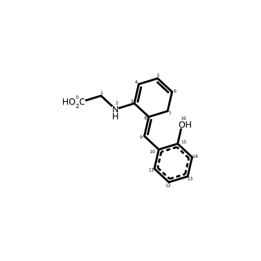 O=C(O)CNC1=CC=CCC1=Cc1ccccc1O